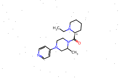 CCN1CCCC[C@H]1C(=O)N1CCN(c2ccncc2)CC1C